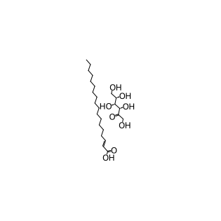 CCCCCCCCCCCCCCC/C=C/C(=O)O.O=C(CO)[C@H](O)[C@@H](O)[C@H](O)CO